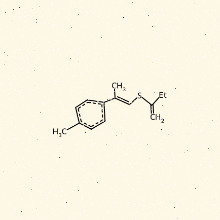 C=C(CC)S/C=C(\C)c1ccc(C)cc1